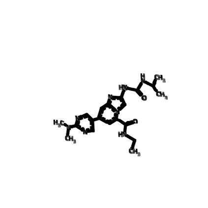 CCNC(=O)c1cc(-c2cnc(N(C)C)nc2)cc2nc(NC(=O)NC(C)C)cn12